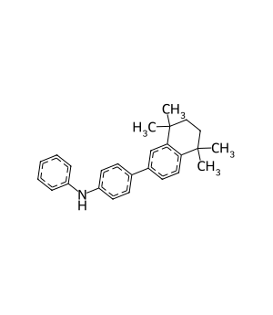 CC1(C)CCC(C)(C)c2cc(-c3ccc(Nc4ccccc4)cc3)ccc21